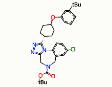 CC(C)(C)OC(=O)N1Cc2cc(Cl)ccc2-n2c(nnc2[C@H]2CC[C@H](Oc3cccc(C(C)(C)C)c3)CC2)C1